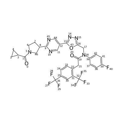 O=C(C1CC1)N1CCC(c2ncc(-c3nnc(CN(C(=O)Cc4ccc(C(F)(F)F)cc4C(F)(F)F)c4ccc(F)cc4)o3)cn2)C1